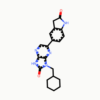 O=C1Cc2cc(-c3cnc4[nH]c(=O)n(CC5CCCCC5)c4n3)ccc2N1